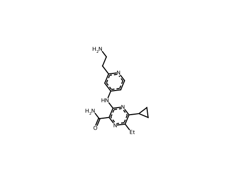 CCc1nc(C(N)=O)c(Nc2ccnc(CCN)c2)nc1C1CC1